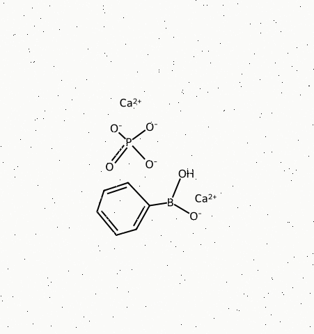 O=P([O-])([O-])[O-].[Ca+2].[Ca+2].[O-]B(O)c1ccccc1